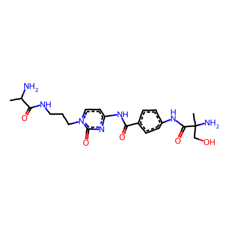 CC(N)C(=O)NCCCn1ccc(NC(=O)c2ccc(NC(=O)C(C)(N)CO)cc2)nc1=O